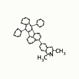 Cc1cc2cc(-c3ccc4c5c(cccc35)-c3c-4c(-c4ccccc4)c4ccccc4c3-c3ccccc3)ccc2c(C)n1